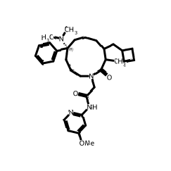 COc1ccnc(NC(=O)CN2CCC[C@](c3ccccc3)(N(C)C)CCCC(CC3CCC3)C(C)C2=O)c1